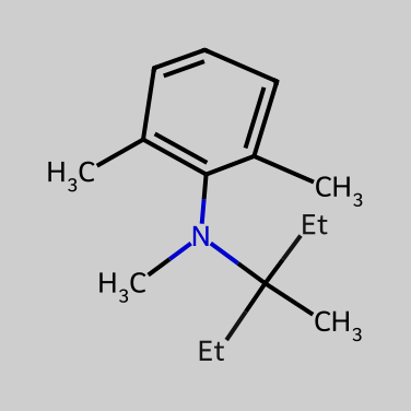 CCC(C)(CC)N(C)c1c(C)cccc1C